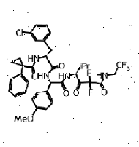 COc1ccc([C@H](NC(=O)[C@H](Cc2cccc(Cl)c2)NC(=O)C2(c3ccccc3)CC2)C(=O)N[C@H](C(=O)C(F)(F)C(=O)NCC(F)(F)F)C(C)C)cc1